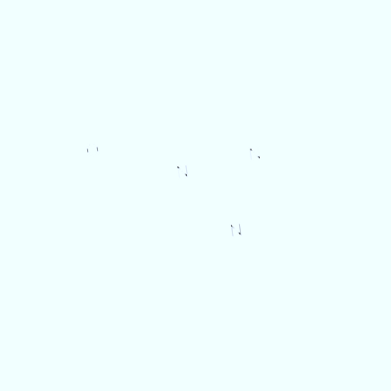 Cn1ccnc1N1CCOCC1